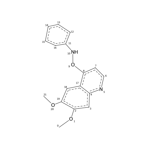 COc1cc2nccc(ONc3ccccc3)c2cc1OC